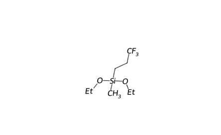 CCO[Si](C)(CCC(F)(F)F)OCC